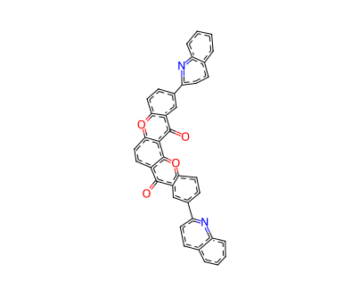 O=c1c2cc(-c3ccc4ccccc4n3)ccc2oc2c1ccc1oc3ccc(-c4ccc5ccccc5n4)cc3c(=O)c12